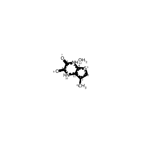 Cc1csc2[nH]c(=O)c(=O)[nH]c12.O